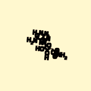 NC(=O)c1nn([C@@H]2O[C@H](COS(N)(=O)=O)[C@@H](O)[C@H]2O)c2ncnc(N)c12